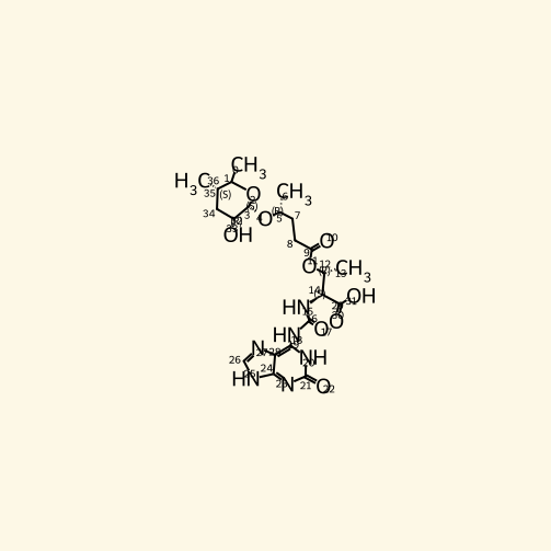 CC1O[C@H](O[C@H](C)CCC(=O)O[C@H](C)[C@H](NC(=O)Nc2[nH]c(=O)nc3[nH]cnc23)C(=O)O)[C@H](O)C[C@@H]1C